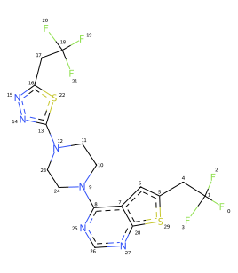 FC(F)(F)Cc1cc2c(N3CCN(c4nnc(CC(F)(F)F)s4)CC3)ncnc2s1